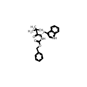 CC(C)(C)C(=O)[C@H](Cc1c[nH]c2ccccc12)NC(=O)OCc1ccccc1